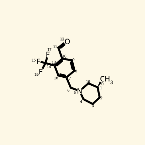 C[C@H]1CCCN(Cc2ccc(C=O)c(C(F)(F)F)c2)C1